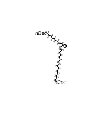 CCCCCCCCCCCCCCCCCC=CC(=O)OCCCCCCCCCCCCCCCCCCCCCCCC